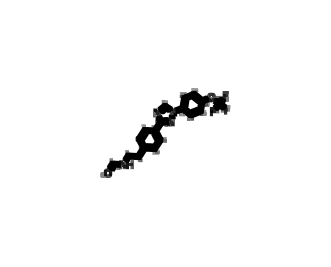 O=CNCCc1ccc(-c2ncn(-c3ccc(OC(F)(F)F)cc3)n2)cc1